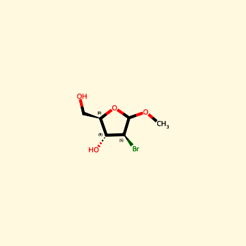 COC1O[C@H](CO)[C@@H](O)[C@@H]1Br